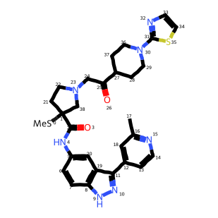 CSC1(C(=O)Nc2ccc3[nH]nc(-c4ccnc(C)c4)c3c2)CCN(CC(=O)C2CCN(c3nccs3)CC2)C1